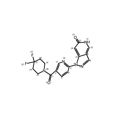 O=C(c1ccc(-n2ncc3c[nH]c(=O)cc32)nc1)N1CCC(F)(F)CC1